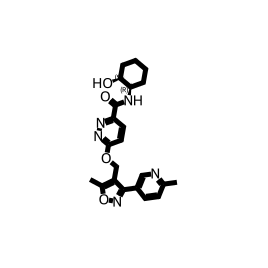 Cc1ccc(-c2noc(C)c2COc2ccc(C(=O)N[C@@H]3CCCC[C@@H]3O)nn2)cn1